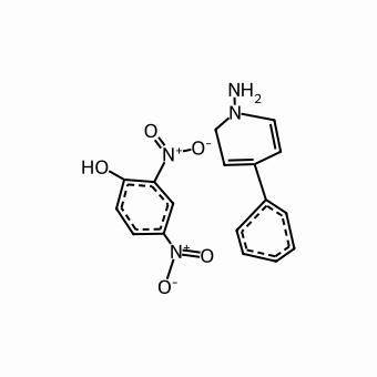 NN1C=CC(c2ccccc2)=CC1.O=[N+]([O-])c1ccc(O)c([N+](=O)[O-])c1